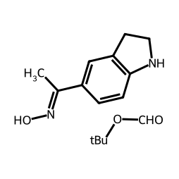 CC(=NO)c1ccc2c(c1)CCN2.CC(C)(C)OC=O